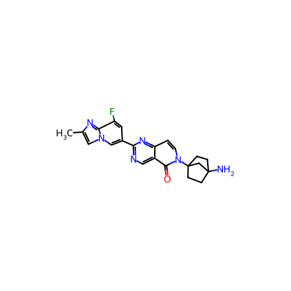 Cc1cn2cc(-c3ncc4c(=O)n(C56CCC(N)(CC5)C6)ccc4n3)cc(F)c2n1